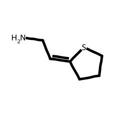 NC/C=C1/CCCS1